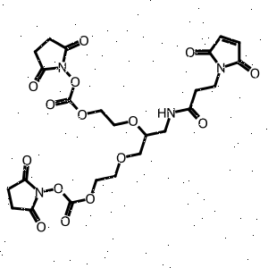 O=C(CCN1C(=O)C=CC1=O)NCC(COCCOC(=O)ON1C(=O)CCC1=O)OCCOC(=O)ON1C(=O)CCC1=O